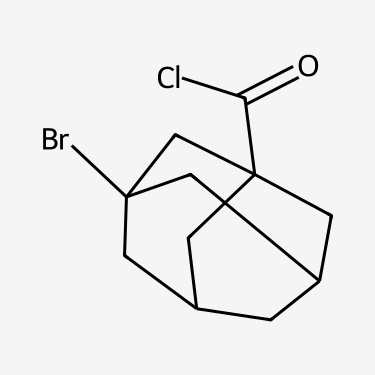 O=C(Cl)C12CC3CC(CC(Br)(C3)C1)C2